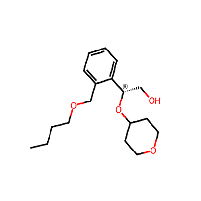 CCCCOCc1ccccc1[C@H](CO)OC1CCOCC1